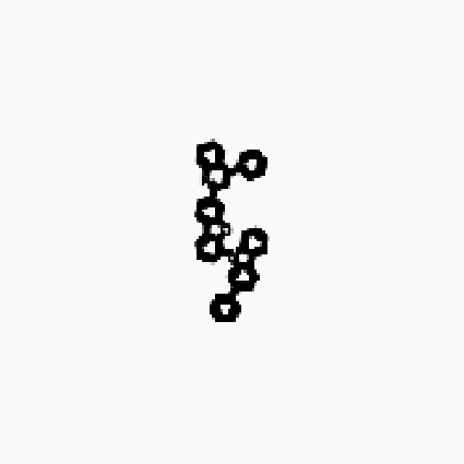 c1ccc(-c2ccc3c4ccccc4n(-c4cccc5c4oc4cc(-c6cc(-c7ccccc7)c7ccccc7n6)ccc45)c3c2)cc1